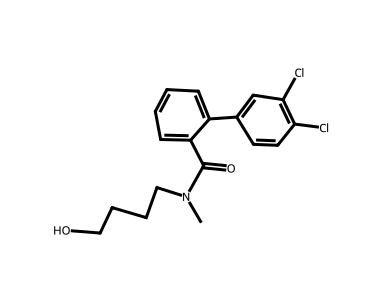 CN(CCCCO)C(=O)c1ccccc1-c1ccc(Cl)c(Cl)c1